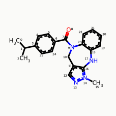 CC(C)c1ccc(C(=O)N2Cc3cnn(C)c3Nc3ccccc32)cc1